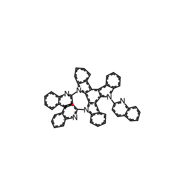 c1ccc2nc(-n3c4ccccc4c4c5c6ccccc6n(-c6ccc7ccccc7n6)c5c5c(c6ccccc6n5-c5ccc6ccccc6n5)c43)ccc2c1